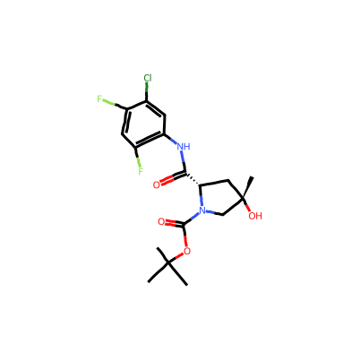 CC(C)(C)OC(=O)N1C[C@@](C)(O)C[C@H]1C(=O)Nc1cc(Cl)c(F)cc1F